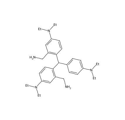 CCN(CC)c1ccc(C(c2ccc(N(CC)CC)cc2CN)c2ccc(N(CC)CC)cc2CN)cc1